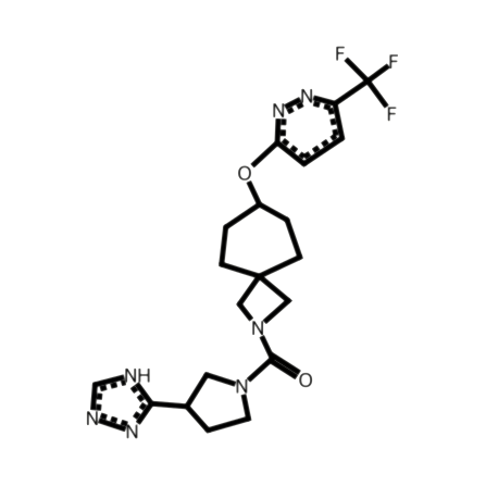 O=C(N1CCC(c2nnc[nH]2)C1)N1CC2(CCC(Oc3ccc(C(F)(F)F)nn3)CC2)C1